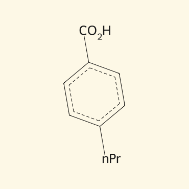 [CH2]CCc1ccc(C(=O)O)cc1